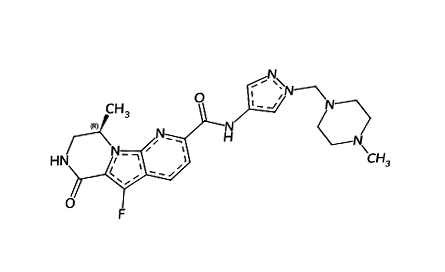 C[C@@H]1CNC(=O)c2c(F)c3ccc(C(=O)Nc4cnn(CN5CCN(C)CC5)c4)nc3n21